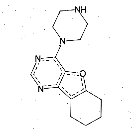 c1nc(N2CCNCC2)c2oc3c(c2n1)CCCC3